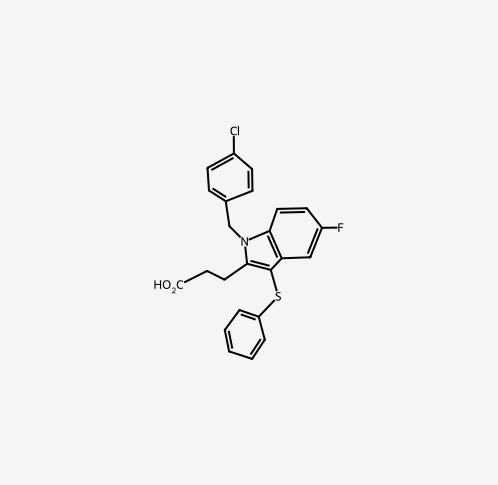 O=C(O)CCc1c(Sc2ccccc2)c2cc(F)ccc2n1Cc1ccc(Cl)cc1